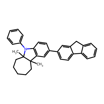 CC12CCCCCC1(C)N(c1ccccc1)c1ccc(-c3ccc4c(c3)Cc3ccccc3-4)cc12